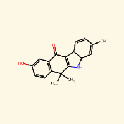 CC1(C)C2=C(C(=O)c3cc(O)ccc31)C1C=CC(C#N)=CC1N2